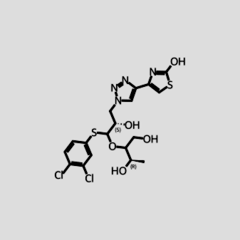 C[C@@H](O)C(CO)OC(Sc1ccc(Cl)c(Cl)c1)[C@@H](O)Cn1cc(-c2csc(O)n2)nn1